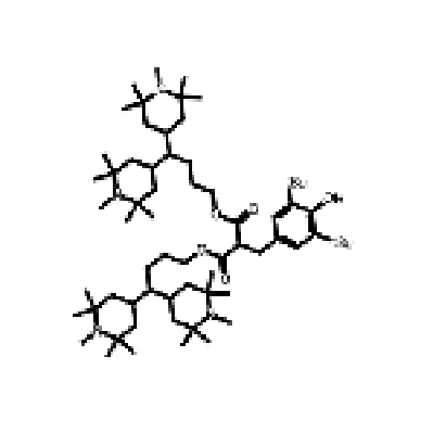 CN1C(C)(C)CC(C(CCCOC(=O)C(Cc2cc(C(C)(C)C)c(O)c(C(C)(C)C)c2)C(=O)OCCCC(C2CC(C)(C)N(C)C(C)(C)C2)C2CC(C)(C)N(C)C(C)(C)C2)C2CC(C)(C)N(C)C(C)(C)C2)CC1(C)C